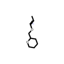 C/C=C/OCC1CCCCO1